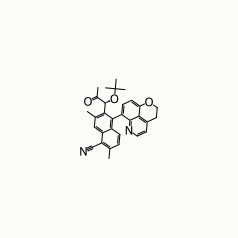 CC(=O)[C@@H](OC(C)(C)C)c1c(C)cc2c(C#N)c(C)ccc2c1-c1ccc2c3c(ccnc13)CCO2